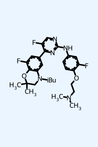 CCC(C)N1CC(C)(C)Oc2c(F)cc(-c3nc(Nc4ccc(OCCN(C)C)c(F)c4)ncc3F)cc21